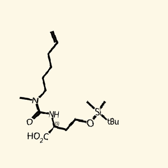 C=CCCCCN(C)C(=O)N[C@@H](CCO[Si](C)(C)C(C)(C)C)C(=O)O